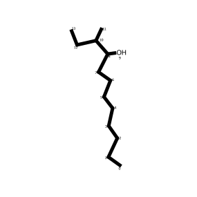 CCCCCCCCC(O)C(C)CC